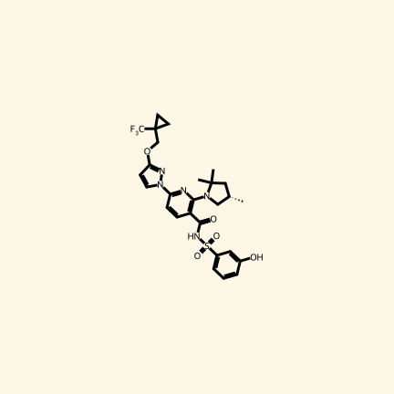 C[C@@H]1CN(c2nc(-n3ccc(OCC4(C(F)(F)F)CC4)n3)ccc2C(=O)NS(=O)(=O)c2cccc(O)c2)C(C)(C)C1